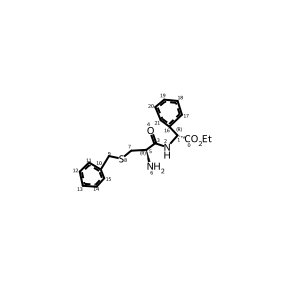 CCOC(=O)[C@H](NC(=O)[C@@H](N)CSCc1ccccc1)c1ccccc1